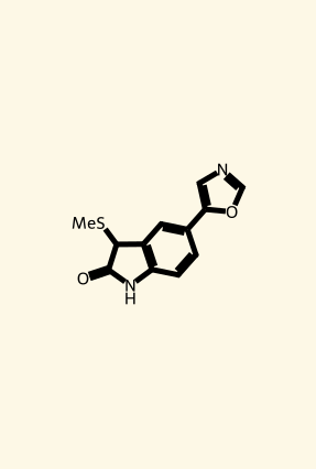 CSC1C(=O)Nc2ccc(-c3cnco3)cc21